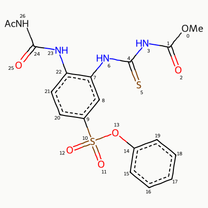 COC(=O)NC(=S)Nc1cc(S(=O)(=O)Oc2ccccc2)ccc1NC(=O)NC(C)=O